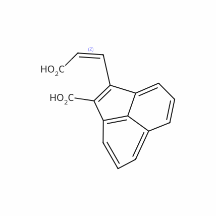 O=C(O)/C=C\C1=C(C(=O)O)c2cccc3cccc1c23